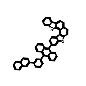 c1cc(-c2ccc3ccccc3c2)cc(-c2c3ccccc3c(-c3ccc4c(c3)sc3ccc5ccc6c7ccccc7sc6c5c34)c3ccccc23)c1